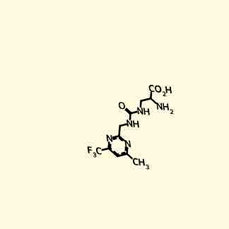 Cc1cc(C(F)(F)F)nc(CNC(=O)NCC(N)C(=O)O)n1